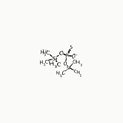 C[Si](C)(C)OP([O-])(=S)O[Si](C)(C)C.[Li+]